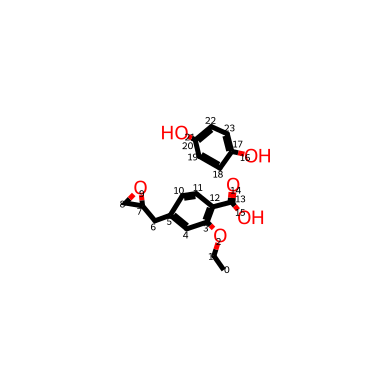 CCOc1cc(CC2CO2)ccc1C(=O)O.Oc1ccc(O)cc1